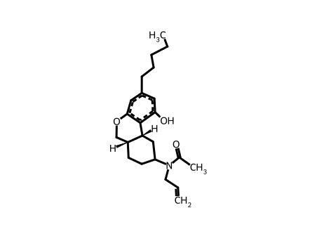 C=CCN(C(C)=O)C1CC[C@@H]2COc3cc(CCCCC)cc(O)c3[C@@H]2C1